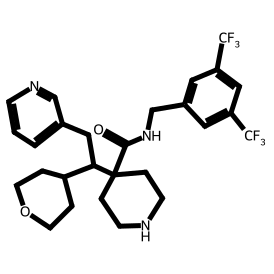 O=C(NCc1cc(C(F)(F)F)cc(C(F)(F)F)c1)C1(C(Cc2cccnc2)C2CCOCC2)CCNCC1